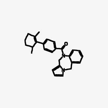 CC1=C(c2ccc(C(=O)N3Cc4cccn4Cc4ccccc43)cc2)C(C)CCC1